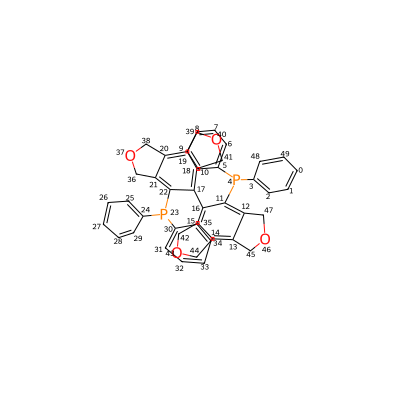 c1ccc(P(c2ccccc2)c2c3c(c4c(c2-c2c5c(c6c(c2P(c2ccccc2)c2ccccc2)COC6)COC5)COC4)COC3)cc1